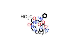 C[C@H](Oc1cc(C(=O)NC(CCC(=O)O)C(=O)N2CCN(C(=O)O)CC2)nn1-c1ccccc1)C(=O)N1CCC[C@H]1C(=O)N(C)C